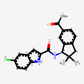 COC(=O)c1ccc2c(c1)[C@H](NC(=O)c1cc3cc(Cl)ccc3[nH]1)C(C)(C)C2